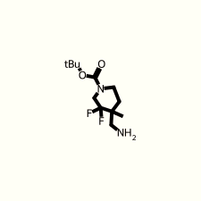 CC(C)(C)OC(=O)N1CCC(C)(CN)C(F)(F)C1